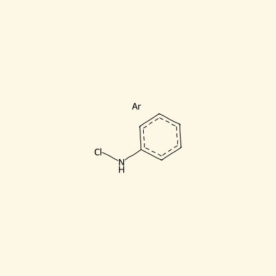 ClNc1ccccc1.[Ar]